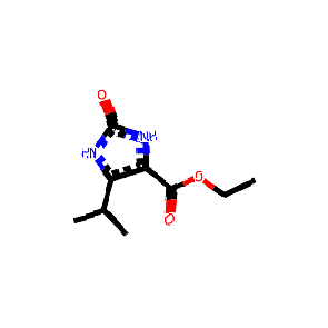 CCOC(=O)c1[nH]c(=O)[nH]c1C(C)C